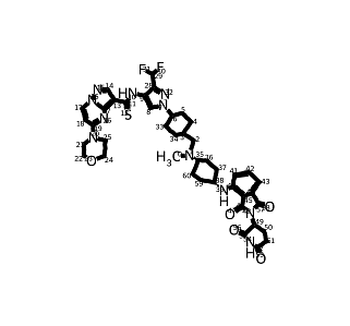 CN(CC1CCC(n2cc(NC(=S)c3cnn4ccc(N5CCOCC5)nc34)c(C(F)F)n2)CC1)[C@H]1CC[C@H](Nc2cccc3c2C(=O)N(C2CCC(=O)NC2=O)C3=O)CC1